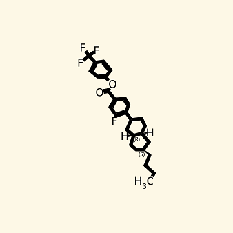 CCCC[C@H]1CC[C@@H]2CC(c3ccc(C(=O)Oc4ccc(C(F)(F)F)cc4)cc3F)CC[C@H]2C1